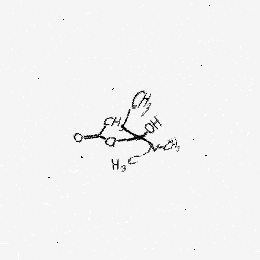 CCC(O)(OC(C)=O)N(C)C